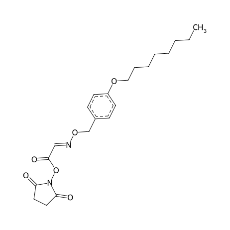 CCCCCCCCOc1ccc(CON=CC(=O)ON2C(=O)CCC2=O)cc1